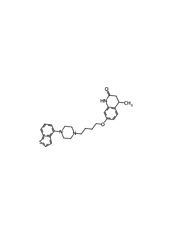 CC1CC(=O)Nc2cc(OCCCCN3CCN(c4cccc5sccc45)CC3)ccc21